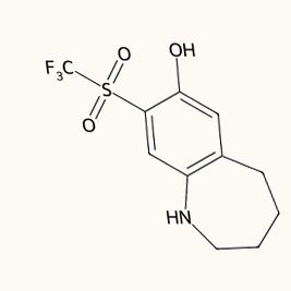 O=S(=O)(c1cc2c(cc1O)CCCCN2)C(F)(F)F